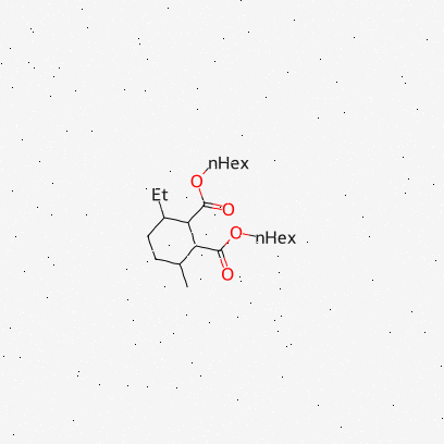 CCCCCCOC(=O)C1C(C)CCC(CC)C1C(=O)OCCCCCC